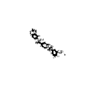 O=C(Nc1ccc2scnc2c1)C1CCN(S(=O)(=O)c2cccc(C(F)(F)F)c2)CC1